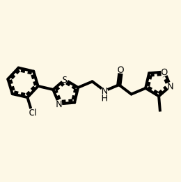 Cc1nocc1CC(=O)NCc1cnc(-c2ccccc2Cl)s1